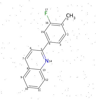 Cc1ccc(-c2ccc3cc[c]cc3n2)cc1F